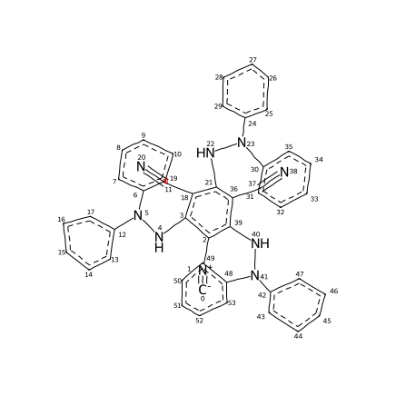 [C-]#[N+]c1c(NN(c2ccccc2)c2ccccc2)c(C#N)c(NN(c2ccccc2)c2ccccc2)c(C#N)c1NN(c1ccccc1)c1ccccc1